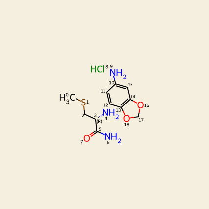 CSC[C@H](N)C(N)=O.Cl.Nc1ccc2c(c1)OCO2